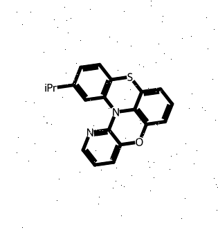 CC(C)c1ccc2c(c1)N1c3ncccc3Oc3cccc(c31)S2